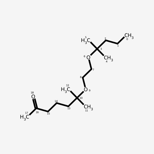 CCCC(C)(C)OCCOC(C)(C)CCCC(C)=O